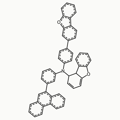 C1=CC(N(c2ccc(-c3ccc4c(c3)oc3ccccc34)cc2)c2cccc(-c3cc4ccccc4c4ccccc34)c2)C2C(=C1)Oc1ccccc12